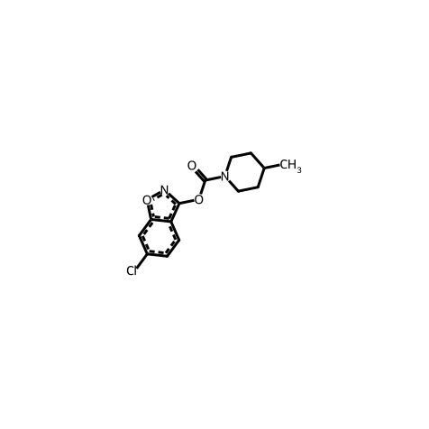 CC1CCN(C(=O)Oc2noc3cc(Cl)ccc23)CC1